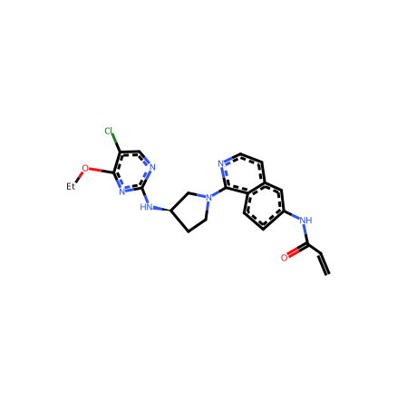 C=CC(=O)Nc1ccc2c(N3CC[C@@H](Nc4ncc(Cl)c(OCC)n4)C3)nccc2c1